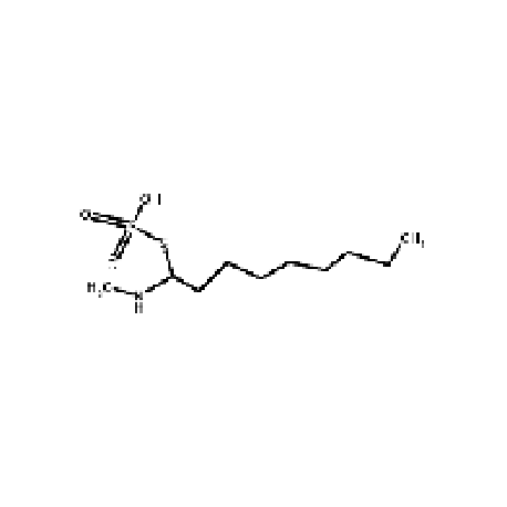 CCCCCCCCC(NC)SS(=O)(=O)O